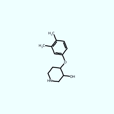 Cc1ccc(OC2CCNCC2O)cc1C